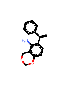 C=C(c1ccccc1)c1ccc2c(c1N)COCO2